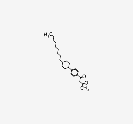 CCCCCCCCCC1CCC(c2ccc(C(=O)CC(C)=O)cc2)CC1